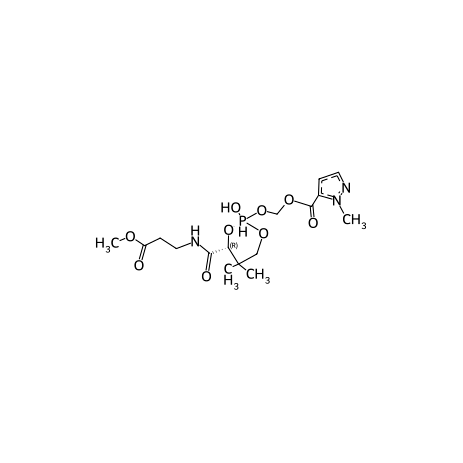 COC(=O)CCNC(=O)[C@@H]1O[PH](O)(OCOC(=O)c2ccnn2C)OCC1(C)C